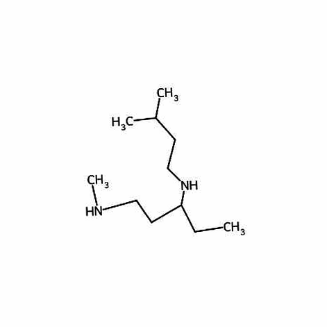 CCC(CCNC)NCCC(C)C